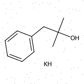 CC(C)(O)Cc1ccccc1.[KH]